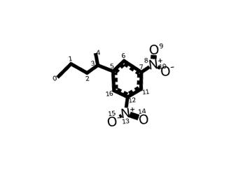 CCCC(C)c1cc([N+](=O)[O-])cc([N+](=O)[O-])c1